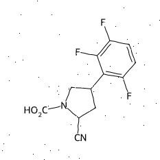 N#CC1CC(c2c(F)ccc(F)c2F)CN1C(=O)O